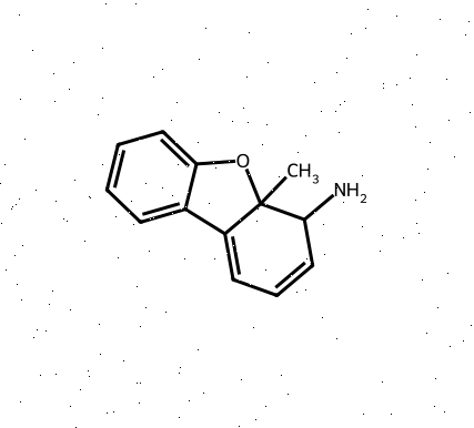 CC12Oc3ccccc3C1=CC=CC2N